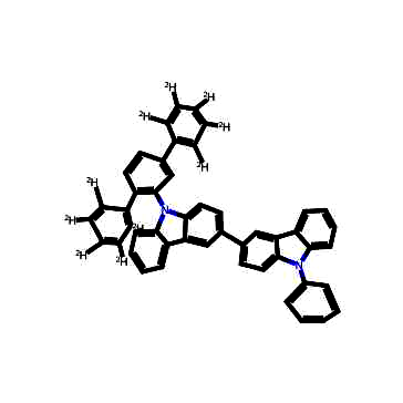 [2H]c1c([2H])c([2H])c(-c2ccc(-c3c([2H])c([2H])c([2H])c([2H])c3[2H])c(-n3c4ccccc4c4cc(-c5ccc6c(c5)c5ccccc5n6-c5ccccc5)ccc43)c2)c([2H])c1[2H]